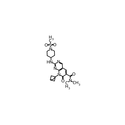 CN(C)C(=O)c1cc2cnc(NC3CCN(S(C)(=O)=O)CC3)nc2n(C23CC(C2)C3)c1=O